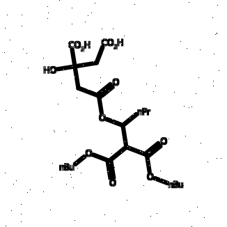 CCCCOC(=O)C(C(=O)OCCCC)C(CCC)OC(=O)CC(O)(CC(=O)O)C(=O)O